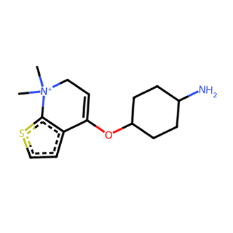 C[N+]1(C)CC=C(OC2CCC(N)CC2)c2ccsc21